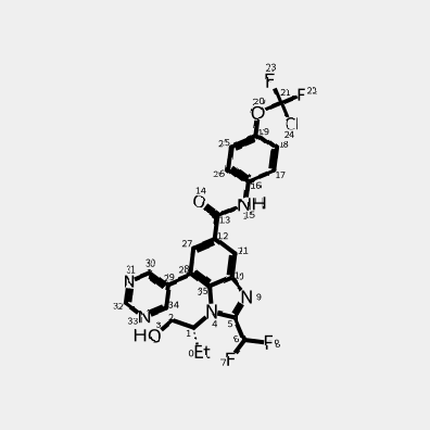 CC[C@H](CO)n1c(C(F)F)nc2cc(C(=O)Nc3ccc(OC(F)(F)Cl)cc3)cc(-c3cncnc3)c21